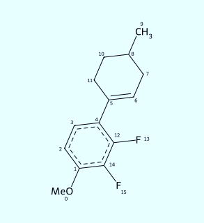 COc1ccc(C2=CCC(C)CC2)c(F)c1F